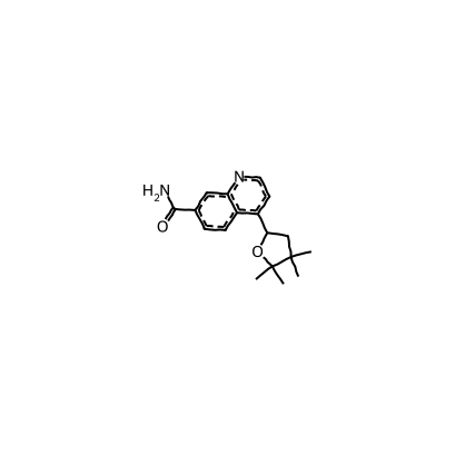 CC1(C)CC(c2ccnc3cc(C(N)=O)ccc23)OC1(C)C